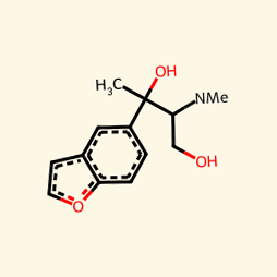 CNC(CO)C(C)(O)c1ccc2occc2c1